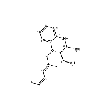 C/C=C\C=C(/C)COc1cncnc1NC(CCO)CCCC